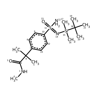 CNC(=O)C(C)(C)c1ccc(S(N)(=O)=N[Si](C)(C)C(C)(C)C)cc1